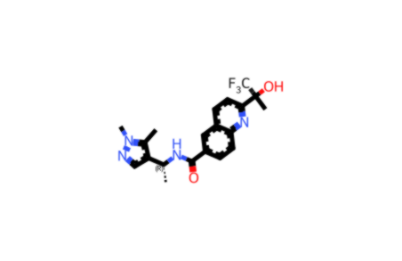 Cc1c([C@@H](C)NC(=O)c2ccc3nc(C(C)(O)C(F)(F)F)ccc3c2)cnn1C